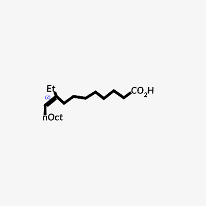 CCCCCCCC/C=C(/CC)CCCCCCCC(=O)O